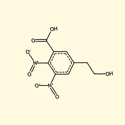 O=C(O)c1cc(CCO)cc([N+](=O)[O-])c1[N+](=O)[O-]